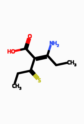 CCC(=S)/C(C(=O)O)=C(/N)CC